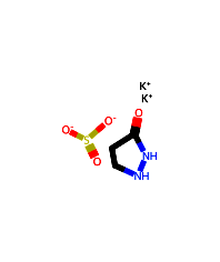 O=C1CCNN1.O=S([O-])[O-].[K+].[K+]